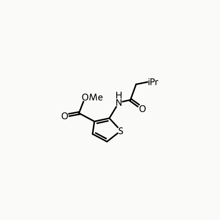 COC(=O)c1ccsc1NC(=O)CC(C)C